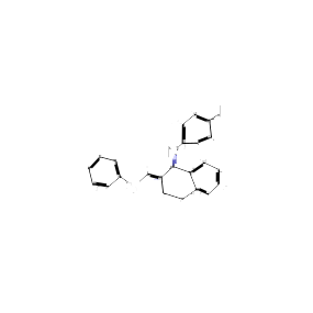 Fc1ccc(/N=C2/C(=C/Sc3ccccc3)CCc3ccccc32)cc1